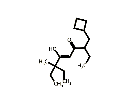 CCC(CC1CCC1)C(=O)/C=C(\O)C(C)(CC)CC